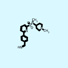 CN1CCC(N(C)S(=O)(=O)c2cccc(-c3ccc(C=N)cc3)n2)CC1